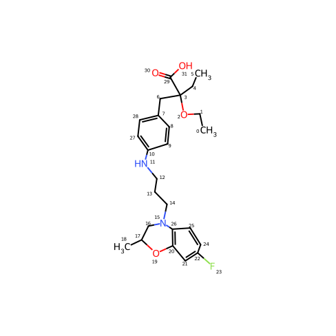 CCOC(CC)(Cc1ccc(NCCCN2CC(C)Oc3cc(F)ccc32)cc1)C(=O)O